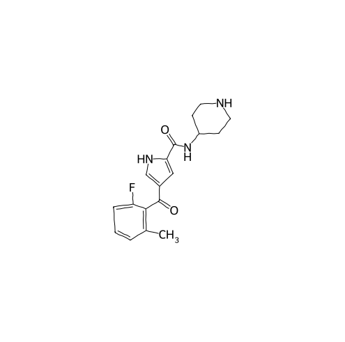 Cc1cccc(F)c1C(=O)c1c[nH]c(C(=O)NC2CCNCC2)c1